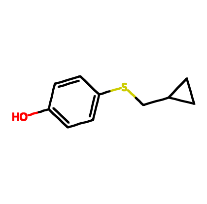 Oc1ccc(SCC2CC2)cc1